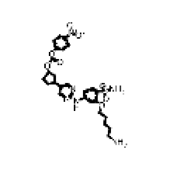 NCCCCCOc1cc(Nc2ncc(C3CCC(OC(=O)Oc4ccc([N+](=O)[O-])cc4)C3)cn2)ccc1S(N)(=O)=O